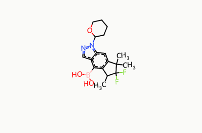 CC1c2c(cc3c(cnn3C3CCCCO3)c2B(O)O)C(C)(C)C1(F)F